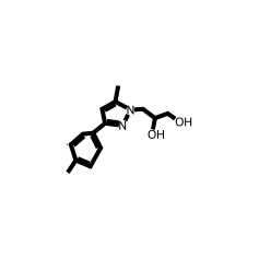 Cc1[c]cc(-c2cc(C)n(CC(O)CO)n2)cc1